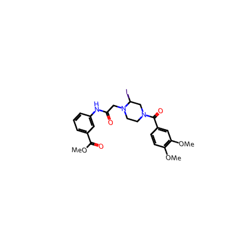 COC(=O)c1cccc(NC(=O)CN2CCN(C(=O)c3ccc(OC)c(OC)c3)CC2I)c1